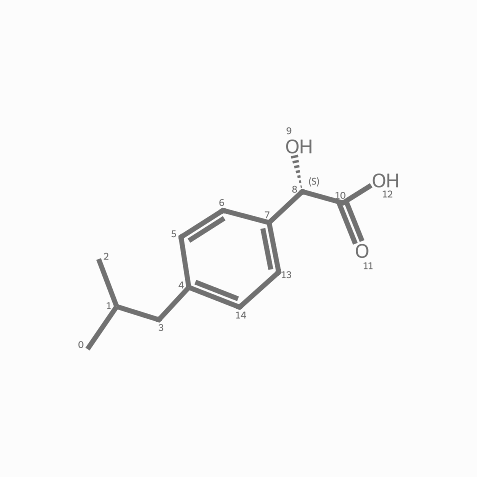 CC(C)Cc1ccc([C@H](O)C(=O)O)cc1